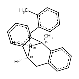 Cc1ccccc1C[N@+]1(C)[C@H]2Cc3ccccc3[C@]1(C)c1ccccc12